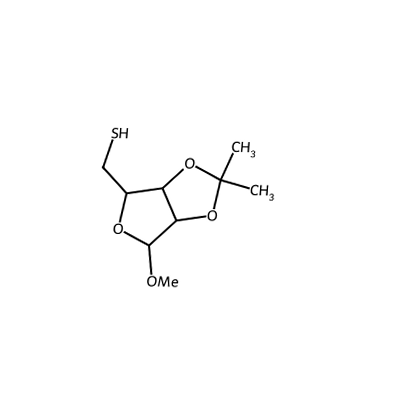 COC1OC(CS)C2OC(C)(C)OC12